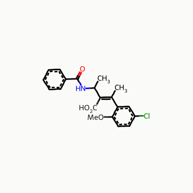 COc1ccc(Cl)cc1C(C)=C(C(=O)O)C(C)NC(=O)c1ccccc1